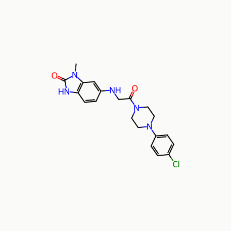 Cn1c(=O)[nH]c2ccc(NCC(=O)N3CCN(c4ccc(Cl)cc4)CC3)cc21